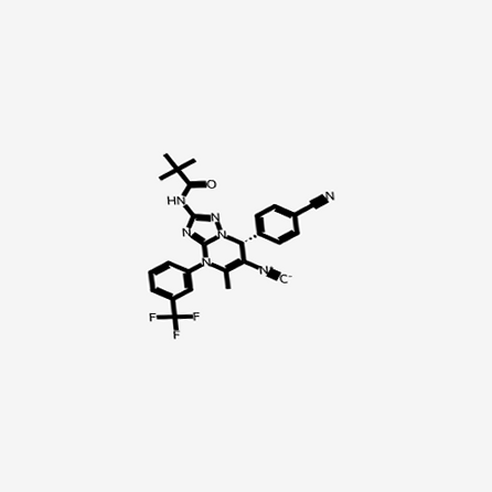 [C-]#[N+]C1=C(C)N(c2cccc(C(F)(F)F)c2)c2nc(NC(=O)C(C)(C)C)nn2[C@@H]1c1ccc(C#N)cc1